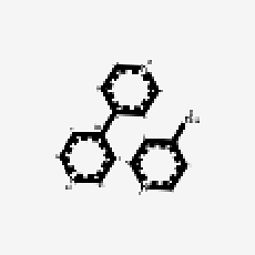 CC(C)(C)c1ccncc1.c1cc(-c2ccncc2)ccn1